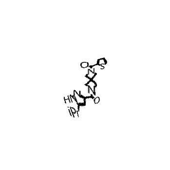 CC(C)c1cc(C(=O)N2CC3(C2)CN(C(=O)c2cccs2)C3)n[nH]1